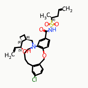 C=CC[C@@H](C)S(=O)(=O)NC(=O)c1ccc2c(c1)N(C[C@@H]1CC[C@H]1[C@@H](O)C=C)CCCCc1cc(Cl)ccc1CO2